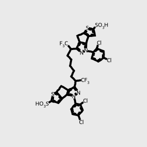 O=S(=O)(O)c1cc2c(s1)Cc1c(C(CCCCCC(c3nn(-c4ccc(Cl)cc4Cl)c4c3Cc3sc(S(=O)(=O)O)cc3-4)C(F)(F)F)C(F)(F)F)nn(-c3ccc(Cl)cc3Cl)c1-2